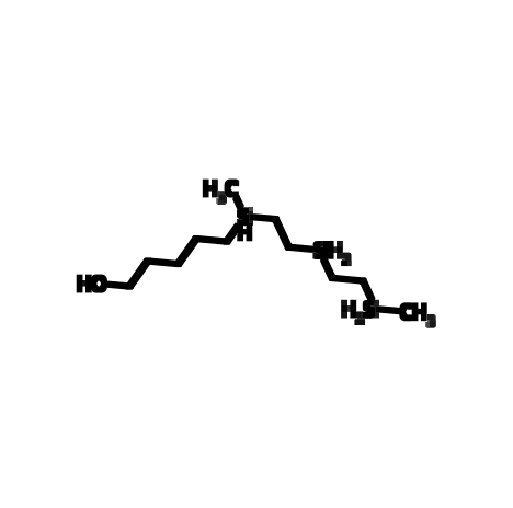 C[SiH2]CC[SiH2]CC[SiH](C)CCCCCO